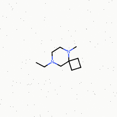 CCN1CCN(C)C2(CCC2)C1